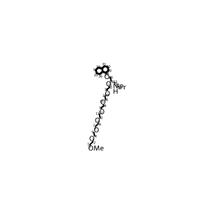 COCCOCCOCCOCCOCCOCCOCCO[C@@H](CNC(C)C)COc1cccc2ccccc12